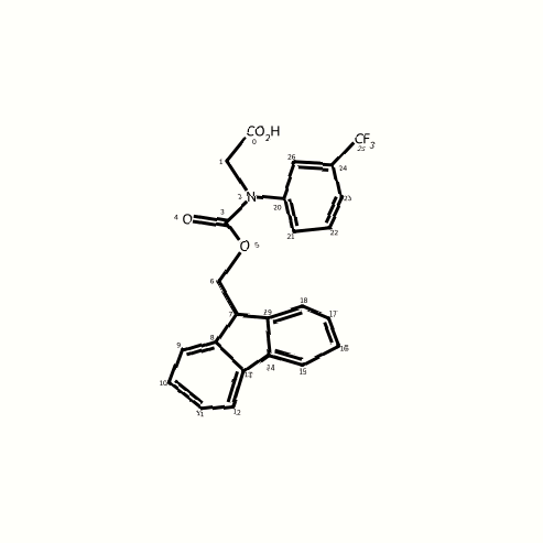 O=C(O)CN(C(=O)OCC1c2ccccc2-c2ccccc21)c1cccc(C(F)(F)F)c1